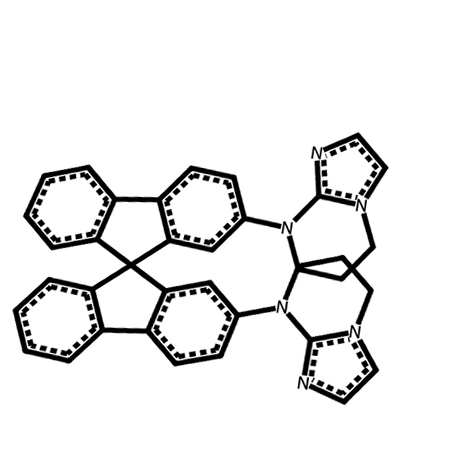 c1ccc2c(c1)-c1ccc(N3CCCn4ccnc43)cc1C21c2ccccc2-c2ccc(N3CCCn4ccnc43)cc21